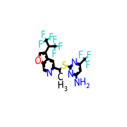 CC(Sc1nc(N)cc(C(F)(F)F)n1)c1cc2c(C(C(F)(F)F)C(F)(F)F)coc2cn1